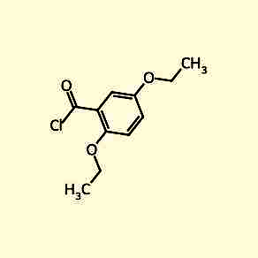 CCOc1ccc(OCC)c(C(=O)Cl)c1